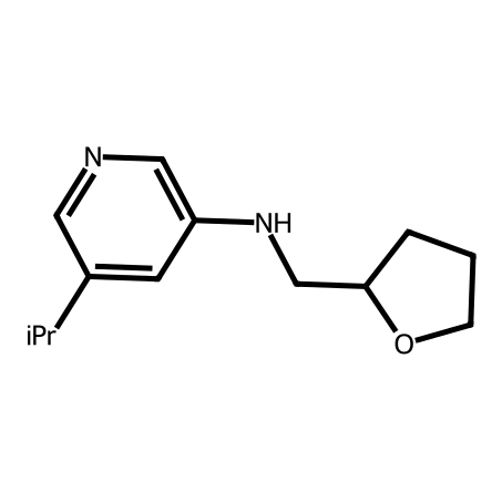 CC(C)c1cncc(NCC2CCCO2)c1